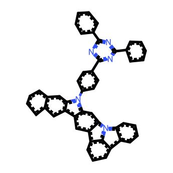 c1ccc(-c2nc(-c3ccccc3)nc(-c3ccc(-n4c5cc6ccccc6cc5c5cc6c7cccc8c9ccccc9n(c6cc54)c87)cc3)n2)cc1